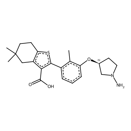 Cc1c(O[C@H]2CCN(N)C2)cccc1-c1sc2c(c1C(=O)O)CC(C)(C)CC2